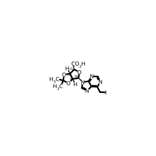 CC1(C)O[C@@H]2[C@H](O1)[C@@H](C(=O)O)O[C@H]2n1cnc2c(CI)ncnc21